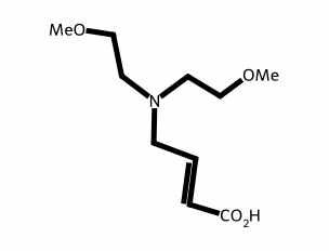 COCCN(CC=CC(=O)O)CCOC